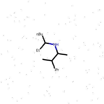 CCCCC(CC)NC(C)C(C)C(C)C